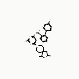 CCC1NC(C(=O)O)CC12CCN(c1cc(O[C@H](c3ccc(Cl)cc3-c3ccc([N+](=O)[O-])cc3)C(F)(F)F)nc(N)n1)CC2